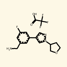 NCc1cc(F)cc(-c2cnn(C3CCOC3)c2)c1.O=C(O)C(F)(F)F